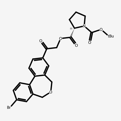 CC(C)(C)OC(=O)N1CCC[C@H]1C(=O)OCC(=O)c1ccc2c(c1)COCc1cc(Br)ccc1-2